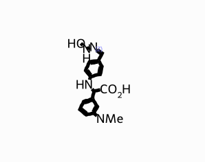 CNc1cccc(C(Nc2ccc(/C=N\NO)cc2)C(=O)O)c1